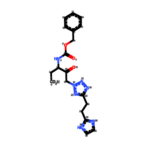 O=C(O)CC(NC(=O)OCc1ccccc1)C(=O)Cn1nnc(CCc2ncc[nH]2)n1